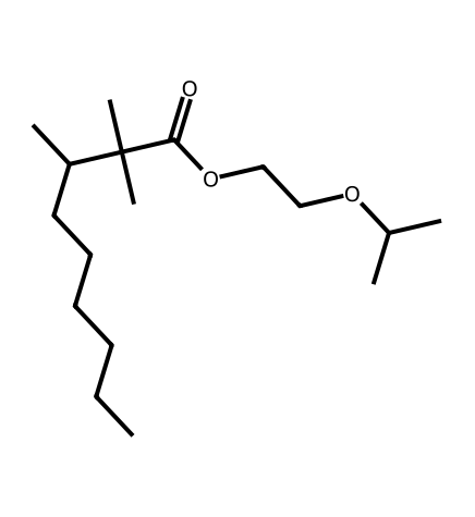 CCCCCCC(C)C(C)(C)C(=O)OCCOC(C)C